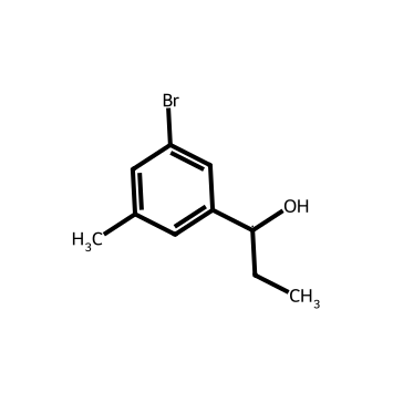 CC[C](O)c1cc(C)cc(Br)c1